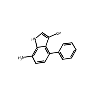 N#Cc1c[nH]c2c(N)ccc(-c3ccccc3)c12